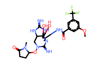 COc1cc(C(=O)NC2CN3C(=N)N(OC4CCC(=O)N4C)CC4NC(=N)NC43C2(O)O)cc(C(F)(F)F)c1